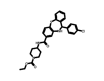 CCOC(=O)N1CCC(NC(=O)c2ccc3c(c2)NC(c2ccc(Cl)cc2)c2ccccc2S3)CC1